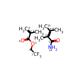 C=C(C)C(=O)OCC(F)(F)F.CC(C)=C(C)C(N)=O